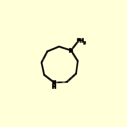 PN1CCCCNCCC1